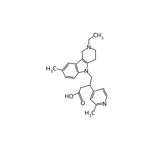 CCN1CCc2c(c3cc(C)ccc3n2CC(CC(=O)O)c2ccnc(C)c2)C1